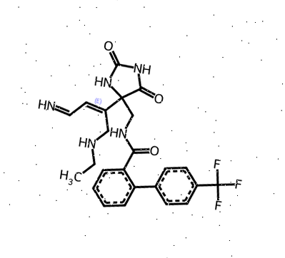 CCNC/C(=C\C=N)C1(CNC(=O)c2ccccc2-c2ccc(C(F)(F)F)cc2)NC(=O)NC1=O